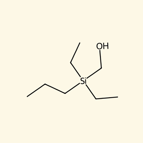 CCC[Si](CC)(CC)CO